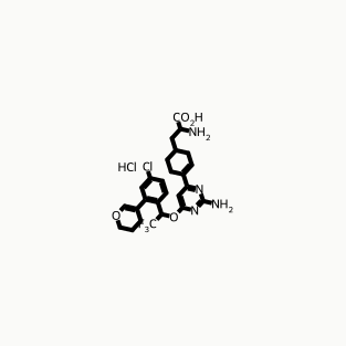 Cl.Nc1nc(OC(c2ccc(Cl)cc2C2=COCCC2)C(F)(F)F)cc(C2=CCC(CC(N)C(=O)O)CC2)n1